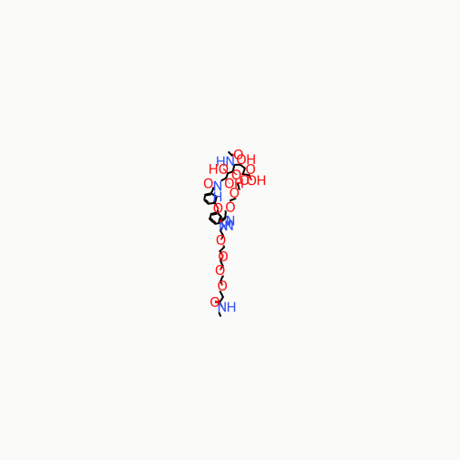 CCNC(=O)CCOCCOCCOCCOCCn1cc(COCCOCCO[C@@]2(C(=O)O)C[C@H](O)[C@@H](NC(C)=O)[C@H]([C@H](O)[C@H](O)CNC(=O)c3cccc(Oc4ccccc4)c3)O2)nn1